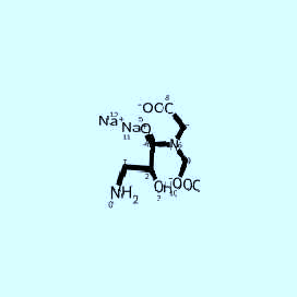 NCC(O)C(=O)N(CC(=O)[O-])CC(=O)[O-].[Na+].[Na+]